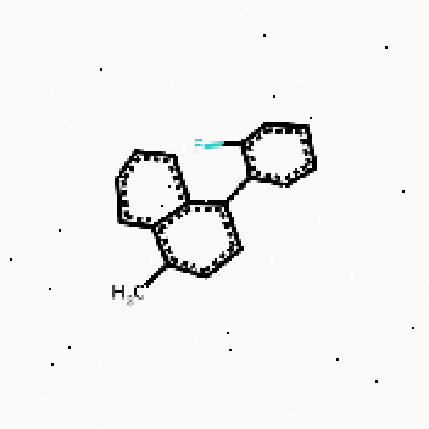 Cc1ccc(-c2ccccc2F)c2ccccc12